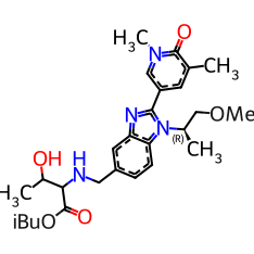 COC[C@@H](C)n1c(-c2cc(C)c(=O)n(C)c2)nc2cc(CNC(C(=O)OCC(C)C)C(C)O)ccc21